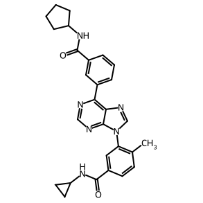 Cc1ccc(C(=O)NC2CC2)cc1-n1cnc2c(-c3cccc(C(=O)NC4CCCC4)c3)ncnc21